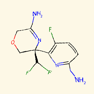 NC1=N[C@@](c2nc(N)ccc2F)(C(F)F)COC1